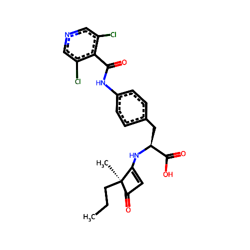 CCC[C@]1(C)C(=O)C=C1N[C@@H](Cc1ccc(NC(=O)c2c(Cl)cncc2Cl)cc1)C(=O)O